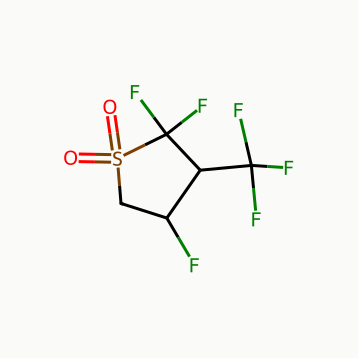 O=S1(=O)CC(F)C(C(F)(F)F)C1(F)F